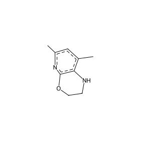 Cc1cc(C)c2c(n1)OCCN2